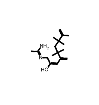 C=C(C)C(C)(C)CC(C)(C)C(=C)/C=C(/O)C/N=C(/C)N